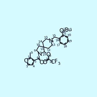 Cc1occc1C(=O)N1CCC2(CCN(Cc3ccccc3OCC(C)C)CC2)C1OC(=O)C(F)(F)F